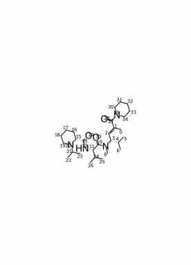 C/C(=C\[C@H](C(C)C)N(C)C(=O)[C@@H](NC(=O)[C@H]1CCCCN1C(C)C)C(C)C)C(=O)N1CCCCC1